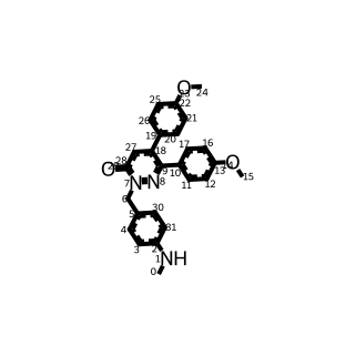 CNc1ccc(Cn2nc(-c3ccc(OC)cc3)c(-c3ccc(OC)cc3)cc2=O)cc1